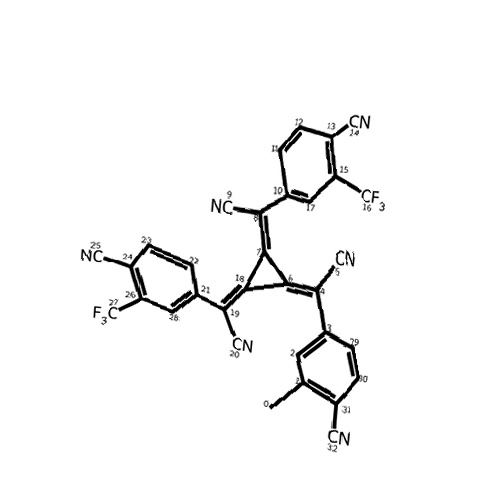 Cc1cc(/C(C#N)=C2/C(=C(C#N)c3ccc(C#N)c(C(F)(F)F)c3)/C2=C(/C#N)c2ccc(C#N)c(C(F)(F)F)c2)ccc1C#N